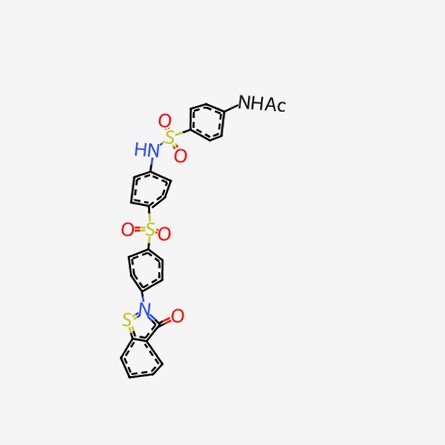 CC(=O)Nc1ccc(S(=O)(=O)Nc2ccc(S(=O)(=O)c3ccc(-n4sc5ccccc5c4=O)cc3)cc2)cc1